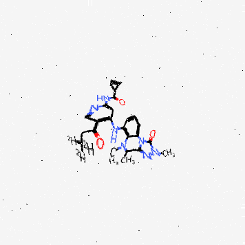 [2H]C([2H])([2H])CC(=O)c1cnc(NC(=O)C2CC2)cc1Nc1cccc2c1N(C)C(C)c1nn(C)c(=O)n1-2